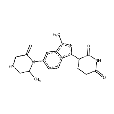 CC1CNCC(=O)N1c1ccc2c(C3CCC(=O)NC3=O)nn(C)c2c1